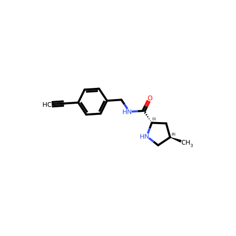 C#Cc1ccc(CNC(=O)[C@@H]2C[C@@H](C)CN2)cc1